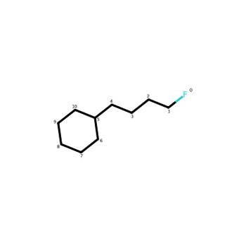 FCCCCC1CCCCC1